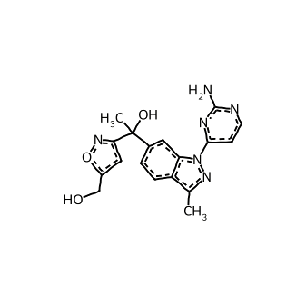 Cc1nn(-c2ccnc(N)n2)c2cc(C(C)(O)c3cc(CO)on3)ccc12